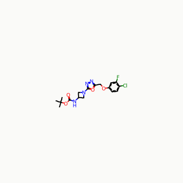 CC(C)(C)OC(=O)NC1CN(c2nnc(COc3ccc(Cl)c(F)c3)o2)C1